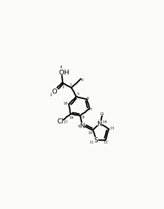 CC(C(=O)O)c1ccc(N=c2sccn2C)c(Cl)c1